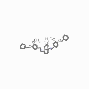 COc1cc(/C=C/c2cccc(/C=C/c3ccc(OCc4ccccc4)c(OC)c3)[n+]2CC(F)(F)F)ccc1OCc1ccccc1